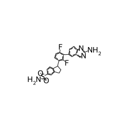 Nc1ncc2cc(-c3c(F)ccc(C4CCc5cc(S(N)(=O)=O)ccc54)c3F)ccc2n1